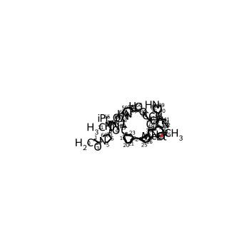 C=CC(=O)N1CC[C@H](C(=O)N(C)[C@H](C(=O)N[C@H]2Cc3cccc(c3)-c3ccc4c(c3)c(c(-c3cc(C5CCNCC5)cnc3[C@H](C)OC)n4CC)CC(C)(C)COC(=O)[C@@H]3CCCN(N3)C2=O)C(C)C)C1